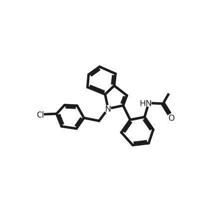 CC(=O)Nc1ccccc1-c1cc2ccccc2n1Cc1ccc(Cl)cc1